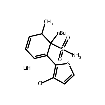 CCCCC1(S(N)(=O)=O)C(c2sccc2Cl)=CC=CC1C.[LiH]